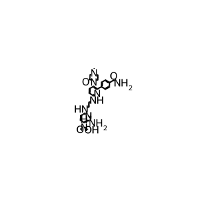 CN1CCN(c2ccc(NCCNc3ccc([NH+]([O-])O)c(N)n3)nc2-c2ccc(C(N)=O)cc2)C(=O)C1